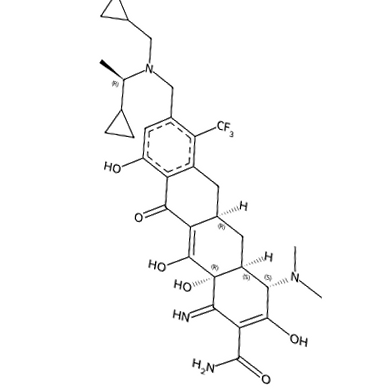 C[C@H](C1CC1)N(Cc1cc(O)c2c(c1C(F)(F)F)C[C@H]1C[C@H]3[C@H](N(C)C)C(O)=C(C(N)=O)C(=N)[C@@]3(O)C(O)=C1C2=O)CC1CC1